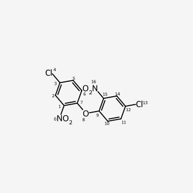 O=[N+]([O-])c1cc(Cl)ccc1Oc1ccc(Cl)cc1[N+](=O)[O-]